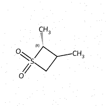 CC1CS(=O)(=O)[C@@H]1C